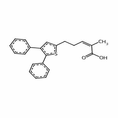 CC(=CCCc1cc(-c2ccccc2)c(-c2ccccc2)s1)C(=O)O